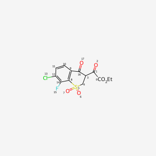 CCOC(=O)C(=O)C1CS(=O)(=O)c2c(ccc(Cl)c2F)C1=O